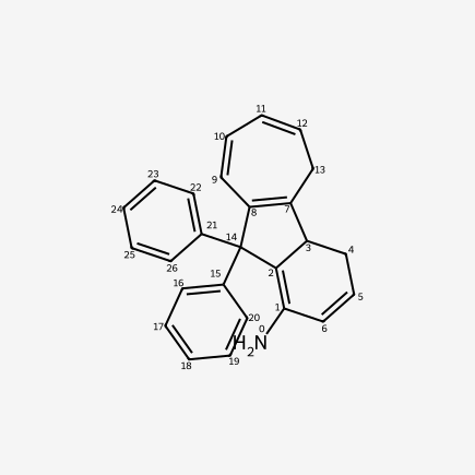 NC1=C2C(CC=C1)C1=C(C=CC=CC1)C2(c1ccccc1)c1ccccc1